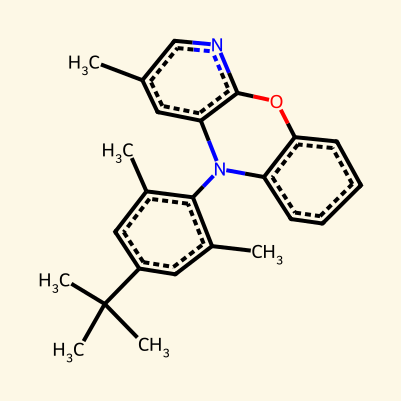 Cc1cnc2c(c1)N(c1c(C)cc(C(C)(C)C)cc1C)c1ccccc1O2